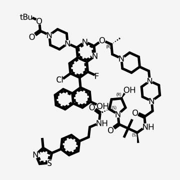 Cc1ncsc1-c1ccc(CCNC(=O)[C@@H]2C[C@@H](O)CN2C(=O)C(C)(C)[C@H](C)NC(=O)CN2CCN(CC3CCN(C[C@@H](C)Oc4nc(N5CCN(C(=O)OC(C)(C)C)CC5)c5cc(Cl)c(-c6cc(O)cc7ccccc67)c(F)c5n4)CC3)CC2)cc1